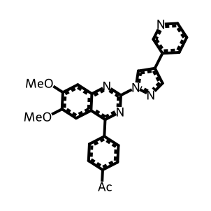 COc1cc2nc(-n3cc(-c4cccnc4)cn3)nc(-c3ccc(C(C)=O)cc3)c2cc1OC